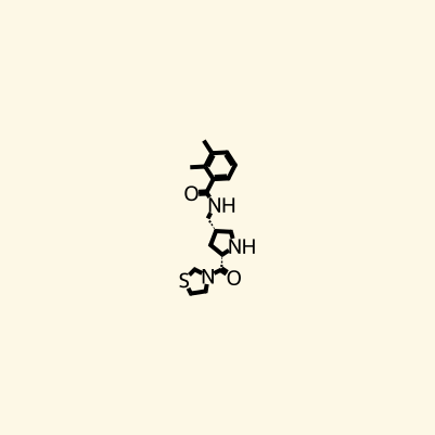 Cc1cccc(C(=O)NC[C@@H]2CN[C@H](C(=O)N3CCSC3)C2)c1C